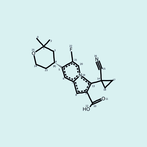 CC1(C)C[C@H](c2cc3cc(C(=O)O)c(C4(C#N)CC4)n3cc2F)CCO1